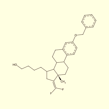 C[C@]12CCC3c4ccc(OCc5ccccc5)cc4CCC3C1C(CCCCO)CC2=C(F)F